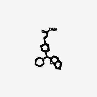 COC(=O)C=Cc1ccc(C(c2ccc3cccc-3o2)N2CCCCC2)cc1